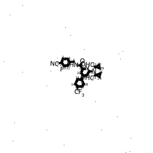 N#Cc1ccc(CNC(=O)c2cc(-c3ccc(C(F)(F)F)cc3)cc(N(C3(C=O)CC3)C3(C=O)CC3)n2)cc1F